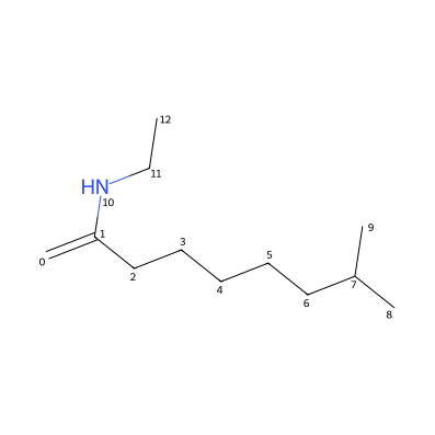 C=C(CCCCCC(C)C)NCC